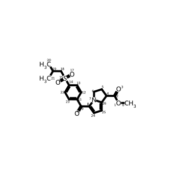 COC(=O)C1CCn2c(C(=O)c3ccc(S(=O)(=O)CC(C)C)cc3)ccc21